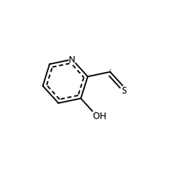 Oc1cccnc1[C]=S